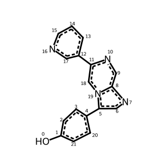 Oc1ccc(-c2cnc3cnc(-c4cccnc4)cn23)cc1